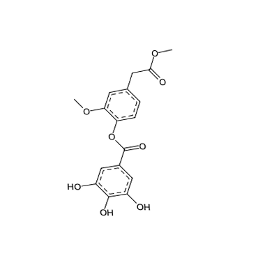 COC(=O)Cc1ccc(OC(=O)c2cc(O)c(O)c(O)c2)c(OC)c1